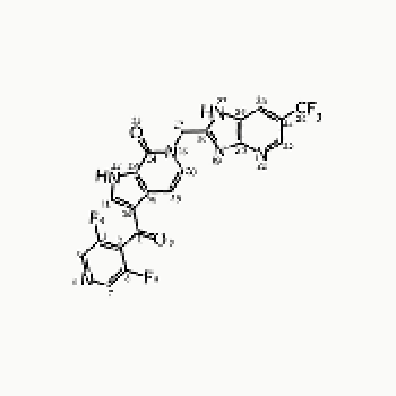 O=C(c1c(F)cncc1F)c1c[nH]c2c(=O)n(Cc3nc4ncc(C(F)(F)F)cc4[nH]3)ccc12